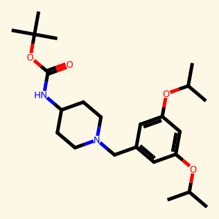 CC(C)Oc1cc(CN2CCC(NC(=O)OC(C)(C)C)CC2)cc(OC(C)C)c1